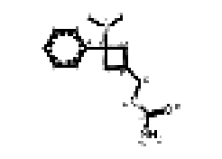 CN(C)C1(c2ccccc2)CC(COC(N)=O)C1